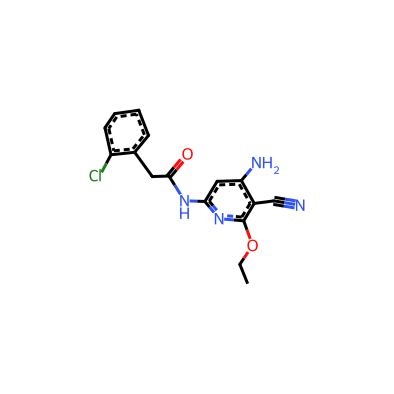 CCOc1nc(NC(=O)Cc2ccccc2Cl)cc(N)c1C#N